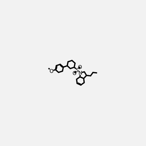 CCCC1CN(S(=O)(=O)C2CCCC(C3=CC=C(OC)CC3)C2)C2CC=CCC12